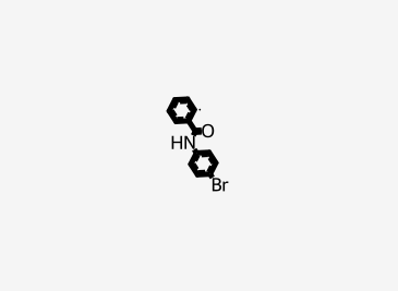 O=C(Nc1ccc(Br)cc1)c1[c]cccc1